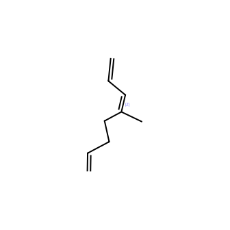 C=C/C=C(/C)CCC=C